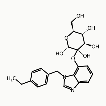 CCc1ccc(Cn2cnc3cccc(O[C@@]4(O)[C@H](O)O[C@@H](CO)[C@H](O)[C@H]4O)c32)cc1